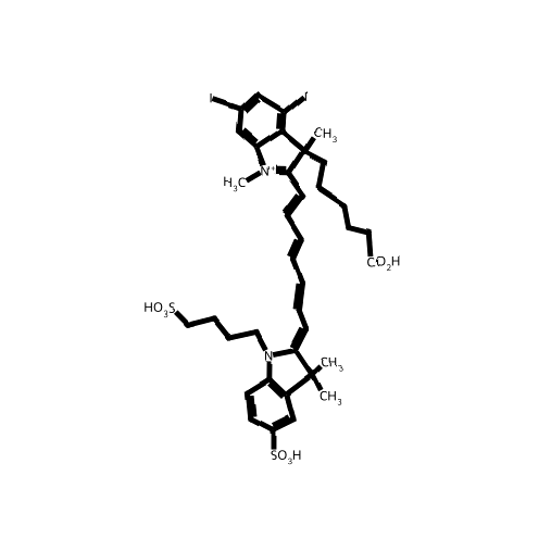 C[N+]1=C(/C=C/C=C/C=C/C=C2\N(CCCCS(=O)(=O)O)c3ccc(S(=O)(=O)O)cc3C2(C)C)C(C)(CCCCCC(=O)O)c2c(I)cc(I)cc21